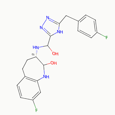 OC(N[C@H]1CCc2ccc(F)cc2NC1O)c1nnc(Cc2ccc(F)cc2)[nH]1